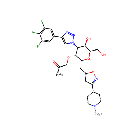 CNC(=O)CO[C@@H]1[C@@H](n2cc(-c3cc(F)c(F)c(F)c3)nn2)[C@@H](O)[C@@H](CO)O[C@@H]1CC1CC(C2CCN(C(=O)O)CC2)=NO1